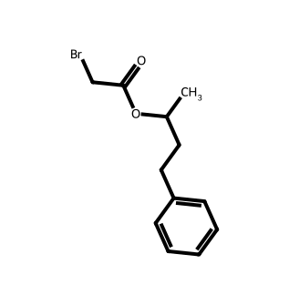 CC(CCc1ccccc1)OC(=O)CBr